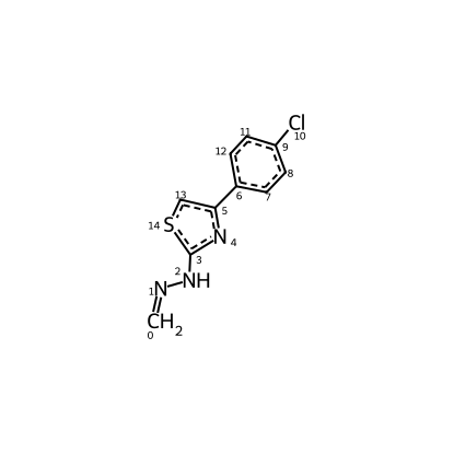 C=NNc1nc(-c2ccc(Cl)cc2)cs1